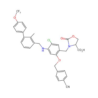 Cc1c(CNc2cc(OCc3ccc(C#N)cc3)c(CN3C(=O)OCC3C(=O)O)cc2Cl)cccc1-c1ccc(OC(F)(F)F)cc1